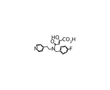 O=C(O)/C(O)=C/C(=O)N(CCc1ccncc1)Cc1ccc(F)cc1